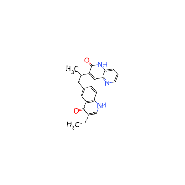 CCc1c[nH]c2ccc(CC(C)c3cc4ncccc4[nH]c3=O)cc2c1=O